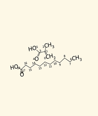 C=C(C)C(=O)O.CCCCCCCCCCCC(=O)O